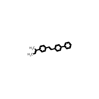 CC=C(C)c1ccc(C=Cc2ccc(-c3ccccc3)cc2)cc1